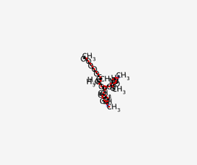 C/C=C1\C[C@H]2C=Nc3cc(OCc4cc(COc5cc6c(cc5OC)C(=O)N5C/C(=C/C)C[C@H]5C=N6)cc(OCCN(C)CC(C)(C)SCCOCCOCCOCCOCCC(C)=O)c4)c(OC)cc3C(=O)N2C1